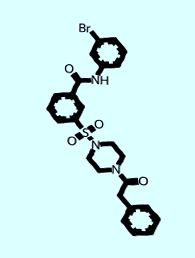 O=C(Nc1cccc(Br)c1)c1cccc(S(=O)(=O)N2CCN(C(=O)Cc3ccccc3)CC2)c1